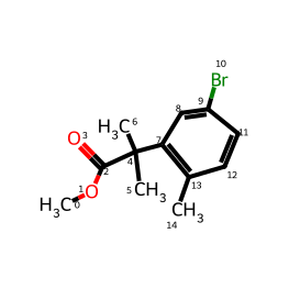 COC(=O)C(C)(C)c1cc(Br)ccc1C